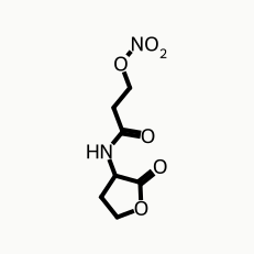 O=C(CCO[N+](=O)[O-])NC1CCOC1=O